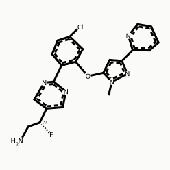 Cn1nc(-c2ccccn2)cc1Oc1cc(Cl)ccc1-c1ncc([C@H](F)CN)cn1